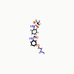 CN(C)CCOc1cccc(NC(=O)[C@H]2CC[C@H](NS(=O)(=O)C(C)(C)C)CC2)c1